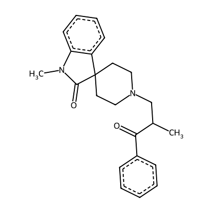 CC(CN1CCC2(CC1)C(=O)N(C)c1ccccc12)C(=O)c1ccccc1